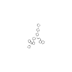 c1ccc(-c2ccc(-c3ccc(N(c4cccc(-c5cccc6c5c5ccccc5n6-c5ccccc5)c4)c4ccc5c(ccc6ccccc65)c4)cc3)cc2)cc1